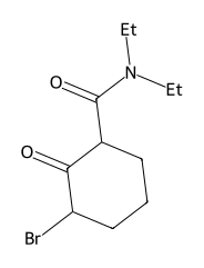 CCN(CC)C(=O)C1CCCC(Br)C1=O